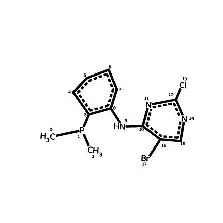 CP(C)c1ccccc1Nc1nc(Cl)ncc1Br